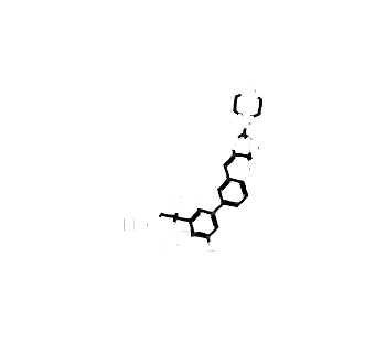 CCC(C)(C)c1cc(-c2cccc(C=C3SC(N4CCOCC4)=NC3=O)c2)cc(F)c1O